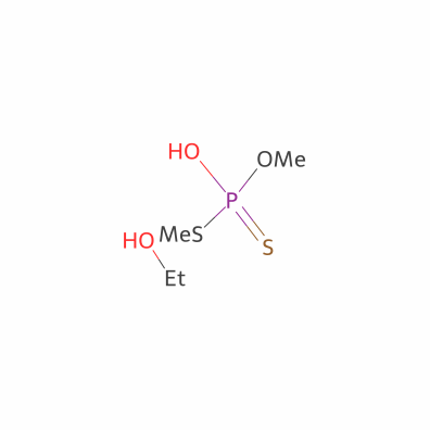 CCO.COP(O)(=S)SC